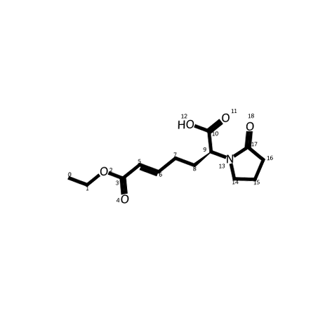 CCOC(=O)/C=C/CC[C@@H](C(=O)O)N1CCCC1=O